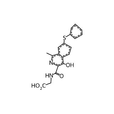 Cc1nc(C(=O)NCC(=O)O)c(O)c2ccc(Sc3ccccc3)cc12